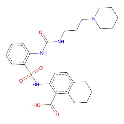 O=C(NCCCN1CCCCC1)Nc1ccccc1S(=O)(=O)Nc1ccc2c(c1C(=O)O)CCCC2